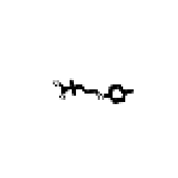 Cc1ccc(OCCCC(C)(C)C(=O)Cl)cc1